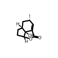 C[C@@H]1C=C2C(=O)O[C@@H]3CC[C@H](C1)[C@]23O